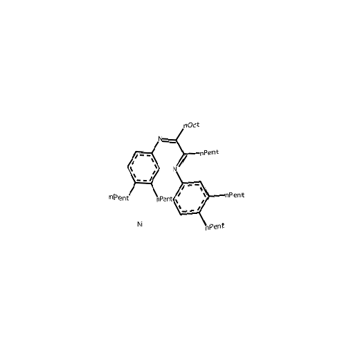 CCCCCCCCC(=Nc1ccc(CCCCC)c(CCCCC)c1)C(CCCCC)=Nc1ccc(CCCCC)c(CCCCC)c1.[Ni]